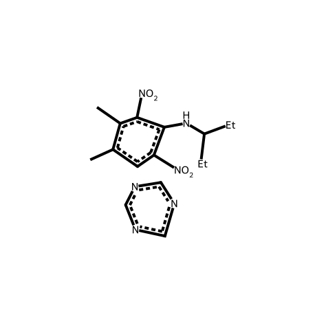 CCC(CC)Nc1c([N+](=O)[O-])cc(C)c(C)c1[N+](=O)[O-].c1ncncn1